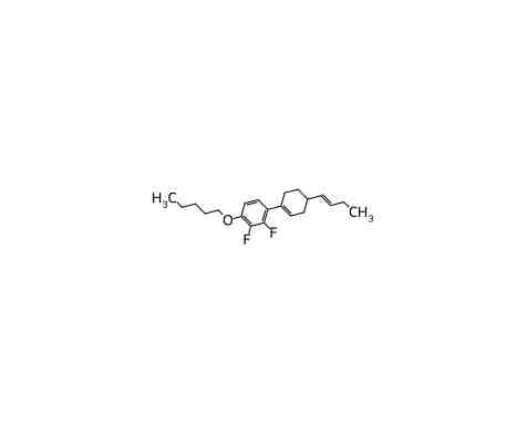 CC/C=C/C1CC=C(c2ccc(OCCCCC)c(F)c2F)CC1